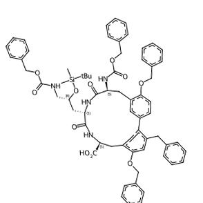 CC(C)(C)[Si](C)(C)O[C@@H](CNC(=O)OCc1ccccc1)C[C@@H]1NC(=O)[C@@H](NC(=O)OCc2ccccc2)Cc2cc(ccc2OCc2ccccc2)-c2cc(c(OCc3ccccc3)cc2Cc2ccccc2)C[C@@H](C(=O)O)NC1=O